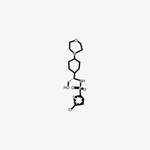 O=S(=O)(N[C@H](CO)C1CCC(N2CCOCC2)CC1)c1ccc(Cl)s1